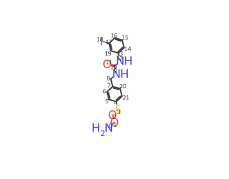 NOOSc1ccc(CNC(=O)Nc2cccc(I)c2)cc1